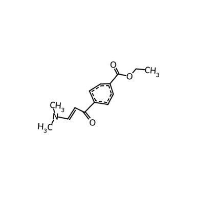 CCOC(=O)c1ccc(C(=O)C=CN(C)C)cc1